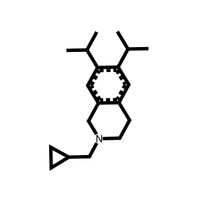 CC(C)c1cc2c(cc1C(C)C)CN(CC1CC1)CC2